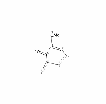 COC1=[C]C=CC(=O)C1=O